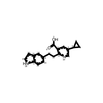 O=C(O)c1cc(C2CC2)cnc1CCc1ccc2[nH]ccc2c1